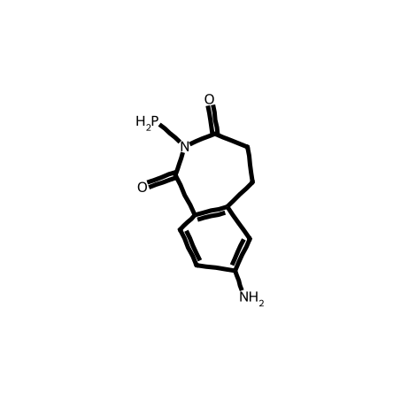 Nc1ccc2c(c1)CCC(=O)N(P)C2=O